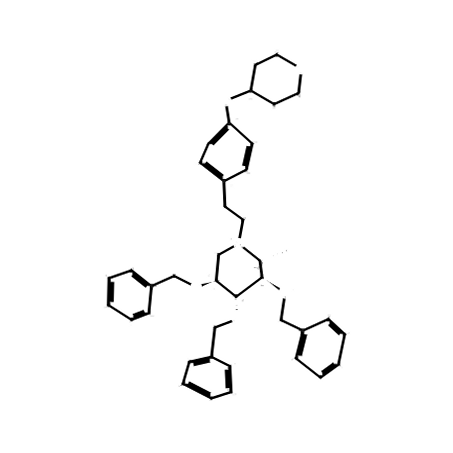 C[C@@H]1[C@@H](OCc2ccccc2)[C@H](OCc2ccccc2)[C@@H](OCc2ccccc2)CN1CCc1ccc(OC2CCOCC2)cc1